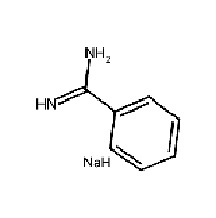 N=C(N)c1ccccc1.[NaH]